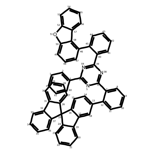 c1ccc(-c2nc(-c3ccccc3-c3ccc4c(c3)-c3ccccc3C43c4ccccc4-c4ccccc43)nc(-c3ccccc3-c3cccc4oc5ccccc5c34)n2)cc1